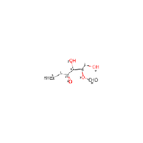 CCCCCCCC(=O)C(O)C(CO)OC=O